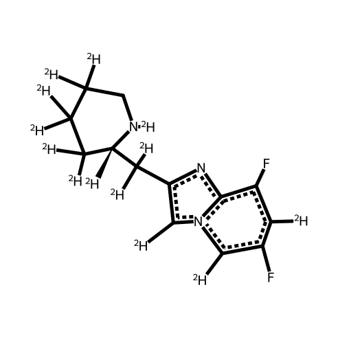 [2H]c1c(F)c([2H])n2c([2H])c(C([2H])([2H])[C@@]3([2H])N([2H])CC([2H])([2H])C([2H])([2H])C3([2H])[2H])nc2c1F